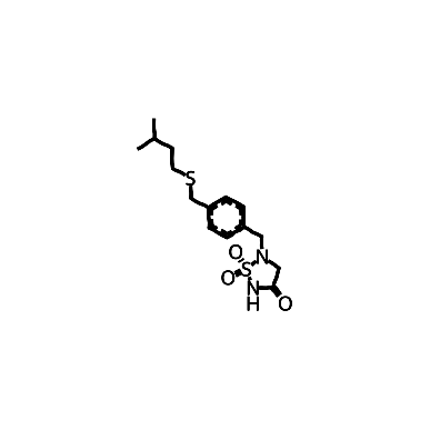 CC(C)CCSCc1ccc(CN2CC(=O)NS2(=O)=O)cc1